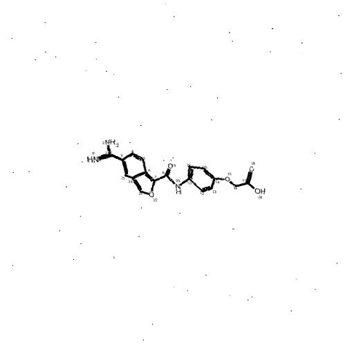 N=C(N)c1ccc2c(C(=O)Nc3ccc(OCC(=O)O)cc3)occ2c1